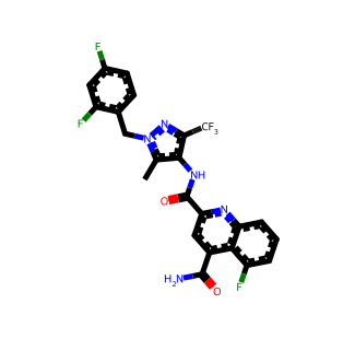 Cc1c(NC(=O)c2cc(C(N)=O)c3c(F)cccc3n2)c(C(F)(F)F)nn1Cc1ccc(F)cc1F